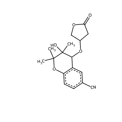 CC1(C)Oc2ccc(C#N)cc2C(OC2COC(=O)C2)C1(C)O